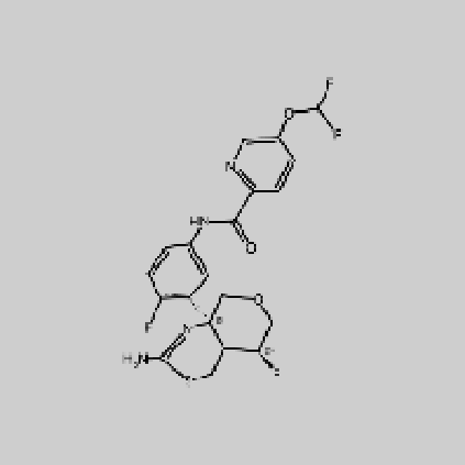 NC1=N[C@@]2(c3cc(NC(=O)c4ccc(OC(F)F)cn4)ccc3F)COC[C@@H](F)C2CS1